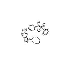 O=S(=O)(Nc1ccc(Nc2ncc3cnn(C4CCCCCC4)c3n2)cc1)c1cccs1